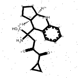 NC(CC(=O)C(=O)C1CC1)(C(=O)O)C1c2ccccc2N[C@@H]2CCC[C@H]12